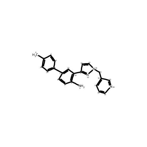 Cc1ccc(-c2ccc(N)c(-c3ccn(Cc4cccnc4)n3)c2)cc1